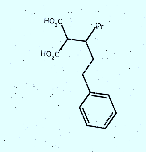 CC(C)C(CCc1ccccc1)C(C(=O)O)C(=O)O